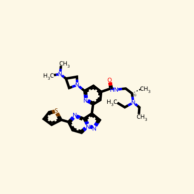 CCN(CC)[C@@H](C)CNC(=O)c1cc(-c2cnn3ccc(-c4cccs4)nc23)nc(N2CC(N(C)C)C2)c1